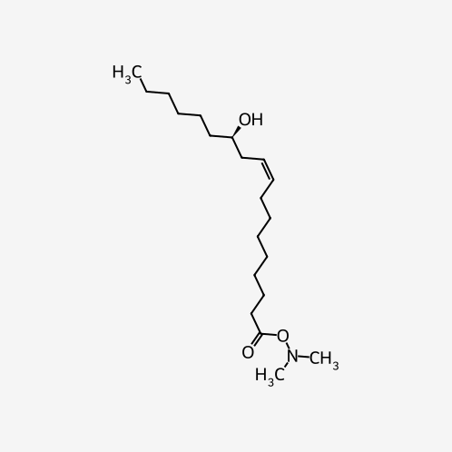 CCCCCC[C@@H](O)C/C=C\CCCCCCCC(=O)ON(C)C